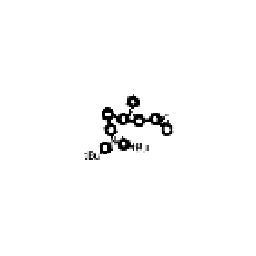 CC(C)(C)c1ccc(N(c2ccc(-c3ccccc3-c3ccc4c5ccc(-c6ccc7sc8ccccc8c7c6)cc5n(-c5ccccc5)c4c3)cc2)c2ccc(C(C)(C)C)cc2)cc1